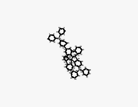 c1ccc(N(c2ccccc2)c2ccc(-c3ccc4c5c(c6ccccc6c4c3)-c3ccc(N(c4ccccc4)c4ccccc4)cc3C53c4ccccc4-c4ccccc43)cc2)cc1